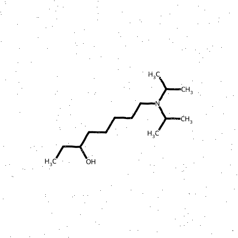 CCC(O)CCCCCN(C(C)C)C(C)C